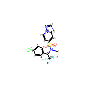 CN(C(c1ccc(Cl)cc1)C(F)(F)F)S(=O)(=O)c1ccn2ncnc2c1